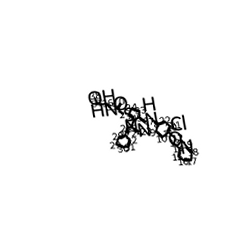 O=C(CS1=C2C(=C(Nc3ccc(OCc4ccccn4)c(Cl)c3)N=CN2Cc2ccccc2)C=C1)NCCO